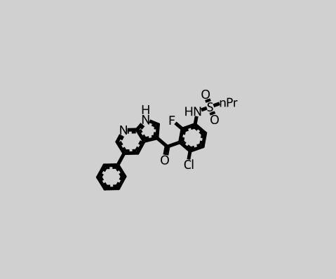 CCCS(=O)(=O)Nc1ccc(Cl)c(C(=O)c2c[nH]c3ncc(-c4ccccc4)cc23)c1F